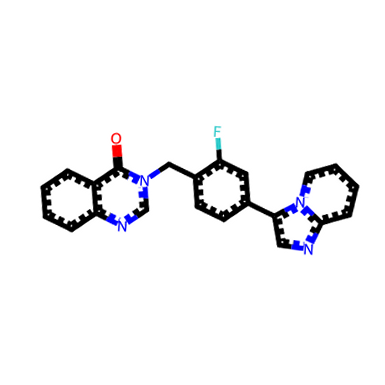 O=c1c2ccccc2ncn1Cc1ccc(-c2cnc3ccccn23)cc1F